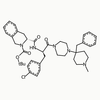 CN1CCC(Cc2ccccc2)(N2CCN(C(=O)[C@@H](Cc3ccc(Cl)cc3)NC(=O)[C@H]3Cc4ccccc4CN3C(=O)OC(C)(C)C)CC2)CC1